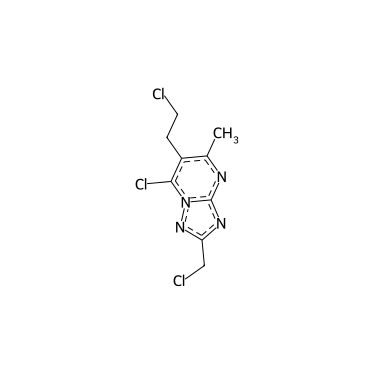 Cc1nc2nc(CCl)nn2c(Cl)c1CCCl